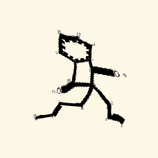 C=CCC1(CC=CC)C(=O)c2ccccc2C1=O